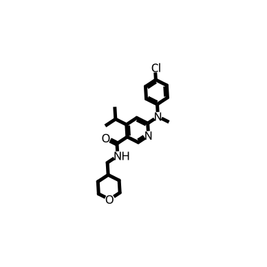 CC(C)c1cc(N(C)c2ccc(Cl)cc2)ncc1C(=O)NCC1CCOCC1